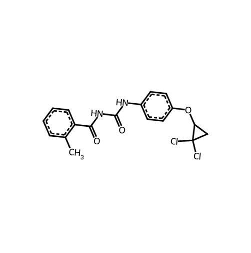 Cc1ccccc1C(=O)NC(=O)Nc1ccc(OC2CC2(Cl)Cl)cc1